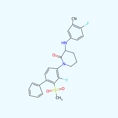 CS(=O)(=O)c1c(-c2ccccc2)ccc(N2CCCC(Nc3ccc(F)c(C#N)c3)C2=O)c1F